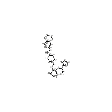 O=c1ccc2ncc(-c3ncco3)cc2n1CCN1CCC(NCc2cc3c(cn2)OCCO3)CC1